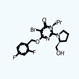 CC(C)n1c(N2CCC[C@H]2CO)nc(OCc2ccc(F)cc2F)c(Br)c1=O